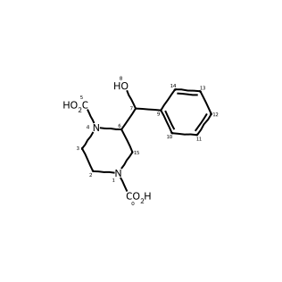 O=C(O)N1CCN(C(=O)O)C(C(O)c2ccccc2)C1